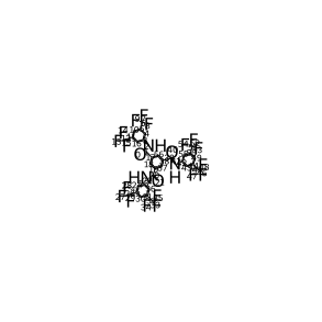 O=C(Nc1cc(C(F)(F)F)cc(C(F)(F)F)c1)c1cc(C(=O)Nc2cc(C(F)(F)F)cc(C(F)(F)F)c2)cc(C(=O)Nc2cc(C(F)(F)F)cc(C(F)(F)F)c2)c1